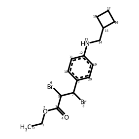 CCOC(=O)C(Br)C(Br)c1ccc(NCC2CCC2)cc1